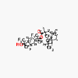 CC1C2CC(CC(C)(C(F)(F)F)C(F)(F)F)C(C2)C1CC(C)(C(=O)OC(C1CCC(C(O)(C(F)(F)F)C(F)(F)F)CC1)(C(F)(F)F)C(F)(F)F)C(F)(F)F